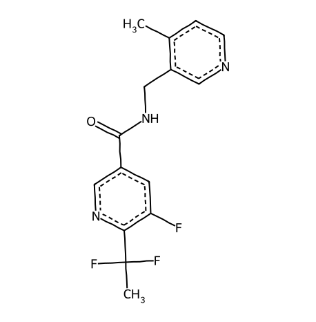 Cc1ccncc1CNC(=O)c1cnc(C(C)(F)F)c(F)c1